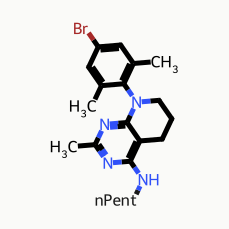 CCCCCNc1nc(C)nc2c1CCCN2c1c(C)cc(Br)cc1C